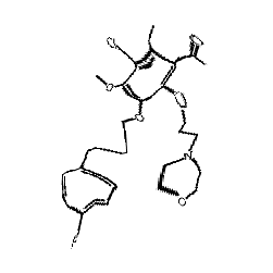 COc1c(Cl)c(C)c(C(C)=O)c(OCCN2CCOCC2)c1OCCCc1ccc(F)cc1